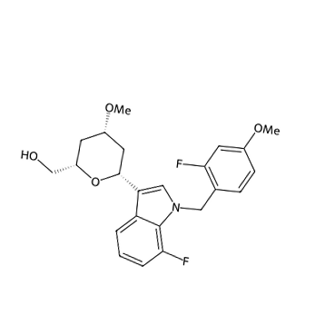 COc1ccc(Cn2cc([C@H]3C[C@@H](OC)C[C@@H](CO)O3)c3cccc(F)c32)c(F)c1